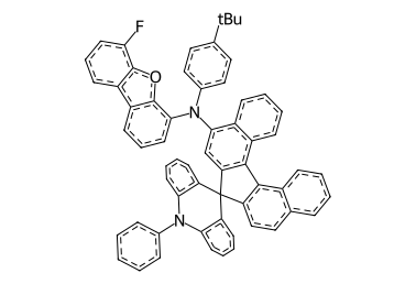 CC(C)(C)c1ccc(N(c2cc3c(c4ccccc24)-c2c(ccc4ccccc24)C32c3ccccc3N(c3ccccc3)c3ccccc32)c2cccc3c2oc2c(F)cccc23)cc1